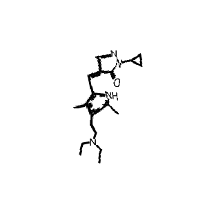 CCN(CC)CCc1c(C)[nH]c(C=C2C=NN(C3CC3)C2=O)c1C